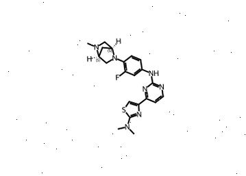 CN(C)c1nc(-c2ccnc(Nc3ccc(N4C[C@@H]5C[C@H]4CN5C)c(F)c3)n2)cs1